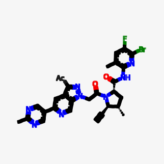 C#C[C@@H]1[C@@H](C)C[C@@H](C(=O)Nc2nc(Br)c(F)cc2C)N1C(=O)Cn1nc(C(C)=O)c2cc(-c3cnc(C)nc3)ncc21